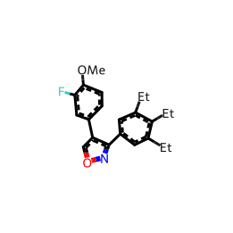 CCc1cc(-c2nocc2-c2ccc(OC)c(F)c2)cc(CC)c1CC